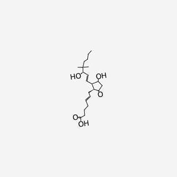 CCCCC(C)(C)[C@H](O)/C=C/C1[C@H](C/C=C/CCCC(=O)O)C(=O)C[C@@H]1O